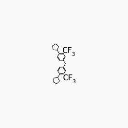 FC(F)(F)c1cc(Cc2ccc(C3CCCC3)c(C(F)(F)F)c2)ccc1C1CCCC1